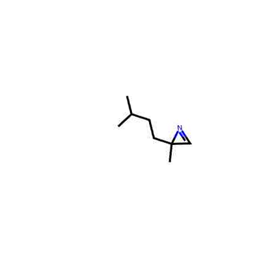 CC(C)CCC1(C)C=N1